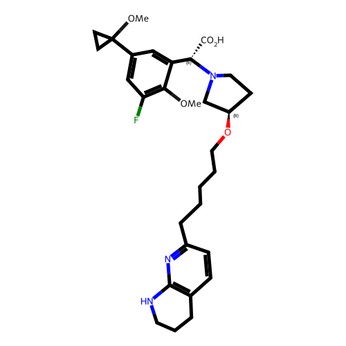 COc1c(F)cc(C2(OC)CC2)cc1[C@H](C(=O)O)N1CC[C@@H](OCCCCCc2ccc3c(n2)NCCC3)C1